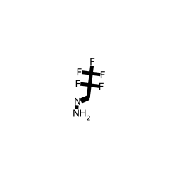 NN=CC(F)(F)C(F)(F)F